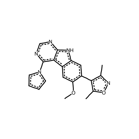 COc1cc2c(cc1-c1c(C)noc1C)[nH]c1ncnc(-n3cccc3)c12